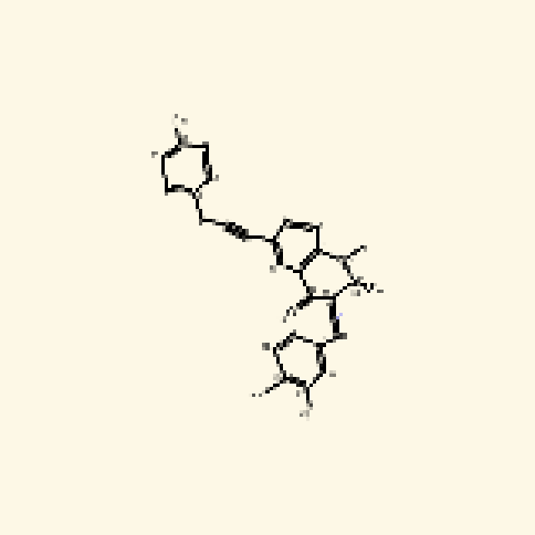 CN1c2ccc(C#CCc3ccc(F)cc3)cc2C(=O)/C(=C\c2ccc(F)c(F)c2)[S+]1[O-]